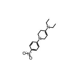 CCN(CC)C1=CCN(c2ccc([N+](=O)[O-])cc2)CC1